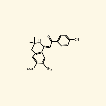 COc1cc2c(cc1N)C(=CC(=O)c1ccc(C#N)cc1)NC(C)(C)C2